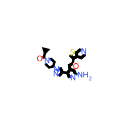 Nc1ncc(-c2cnn(C3CCN(C(=O)C4CC4)CC3)c2)c2cc(-c3csc4cnccc34)oc12